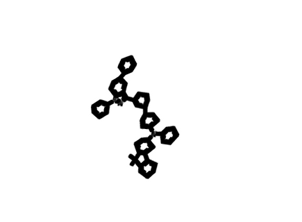 CC1(C)c2ccccc2-c2cc(N(c3ccccc3)c3ccc(-c4cccc(-c5nn(-c6ccccc6)c6ccc(-c7ccccc7)cc56)c4)cc3)ccc21